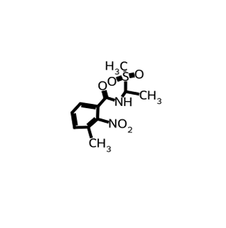 Cc1cccc(C(=O)NC(C)S(C)(=O)=O)c1[N+](=O)[O-]